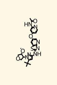 COC1COCC1n1nc(Nc2nc3ncc(Oc4ccnc(NC(C)=O)c4)cc3s2)cc1C(C)(C)C